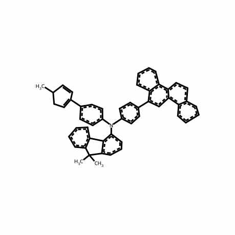 CC1C=CC(c2ccc(N(c3ccc(-c4cc5c6ccccc6ccc5c5ccccc45)cc3)c3cccc4c3-c3ccccc3C4(C)C)cc2)=CC1